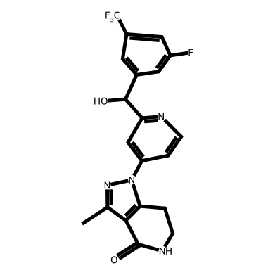 Cc1nn(-c2ccnc(C(O)c3cc(F)cc(C(F)(F)F)c3)c2)c2c1C(=O)NCC2